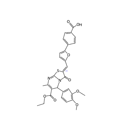 CCOC(=O)C1=C(C)N=c2s/c(=C\c3ccc(-c4ccc(C(=O)O)cc4)o3)c(=O)n2C1c1ccc(OC)c(OC)c1